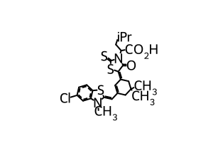 CC(C)CC(C(=O)O)N1C(=O)/C(=C2C=C(/C=C3\Sc4ccc(Cl)cc4N3C)CC(C)(C)C/2)SC1=S